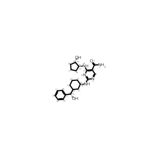 NC(=O)c1cnc(N[C@@H]2CCCC([C@H](O)c3ccccc3)C2)nc1N[C@H]1CCC[C@@H]1O